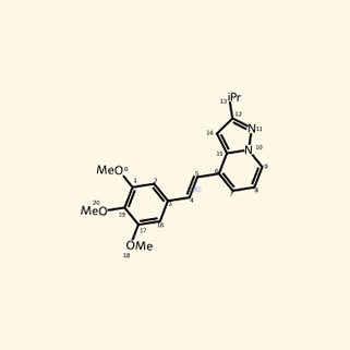 COc1cc(/C=C/c2cccn3nc(C(C)C)cc23)cc(OC)c1OC